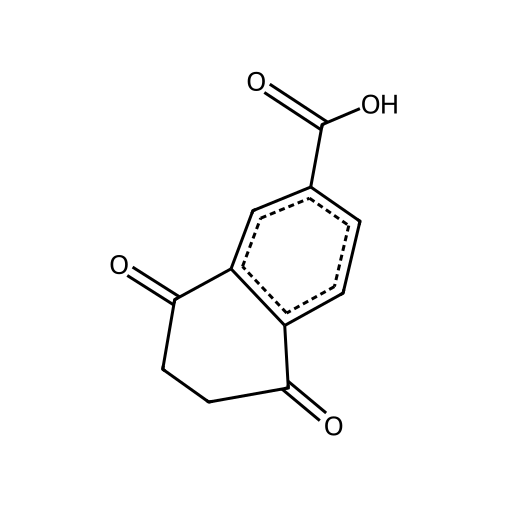 O=C(O)c1ccc2c(c1)C(=O)CCC2=O